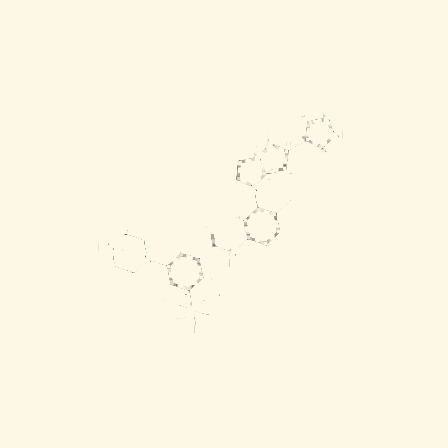 Cc1ccc(NC(=O)c2cc(N3CCNCC3)cc(S(F)(F)(F)(F)F)c2)cc1-n1ccn2nc(-c3cn[nH]c3)cc12